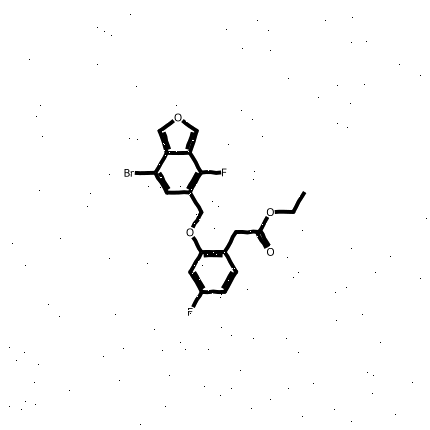 CCOC(=O)Cc1ccc(F)cc1OCc1cc(Br)c2cocc2c1F